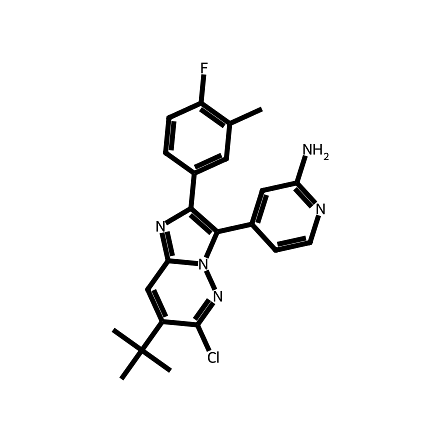 Cc1cc(-c2nc3cc(C(C)(C)C)c(Cl)nn3c2-c2ccnc(N)c2)ccc1F